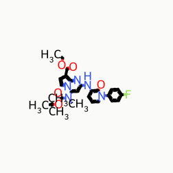 CCOC(=O)c1ccn2c(N(C)C(=O)OC(C)(C)C)cc(Nc3cccn(-c4ccc(F)cc4)c3=O)nc12